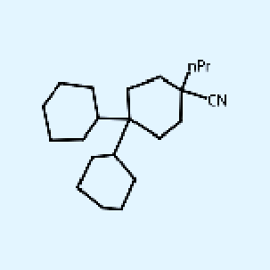 CCCC1(C#N)CCC(C2CCCCC2)(C2CCCCC2)CC1